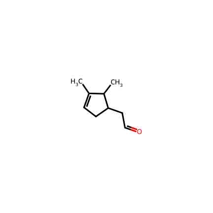 CC1=CCC(CC=O)C1C